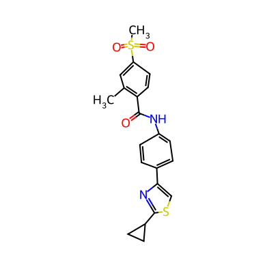 Cc1cc(S(C)(=O)=O)ccc1C(=O)Nc1ccc(-c2csc(C3CC3)n2)cc1